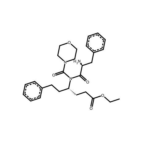 CCOC(=O)CC[C@H](CCc1ccccc1)N(C(=O)[C@@H](N)Cc1ccccc1)C(=O)N1CCOCC1